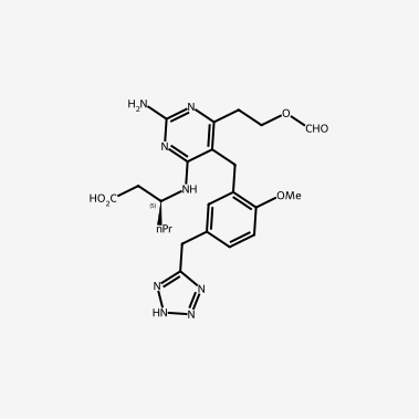 CCC[C@@H](CC(=O)O)Nc1nc(N)nc(CCOC=O)c1Cc1cc(Cc2nn[nH]n2)ccc1OC